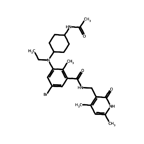 CCN(c1cc(Br)cc(C(=O)NCc2c(C)cc(C)[nH]c2=O)c1C)C1CCC(NC(C)=O)CC1